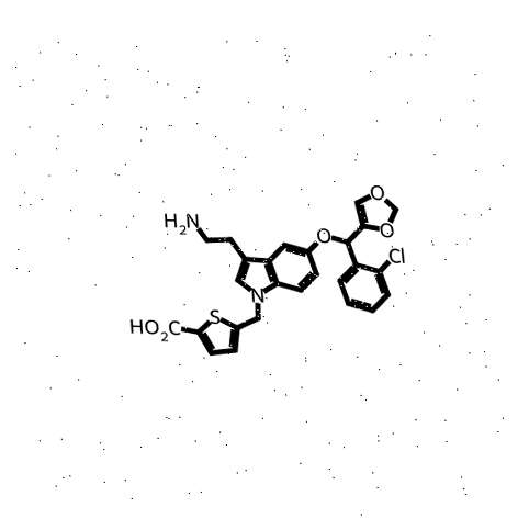 NCCc1cn(Cc2ccc(C(=O)O)s2)c2ccc(OC(C3=COCO3)c3ccccc3Cl)cc12